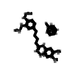 CCCCCCCCOc1ccc(CCCCC(=NN)Oc2ccc(C#N)c(C#N)c2)cc1OCCCCCCCC.Cc1ccc2cc1S2(=O)=O